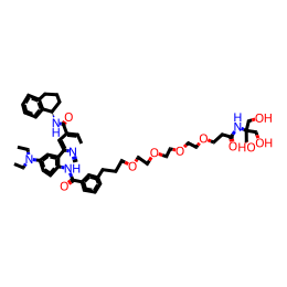 C=N/C(=C\C(=C/C)C(=O)N[C@H]1CCCc2ccccc21)c1cc(N(CC)CC)ccc1NC(=O)c1cccc(CCCOCCOCCOCCOCCC(=O)NC(CO)(CO)CO)c1